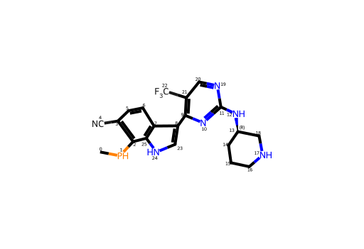 CPc1c(C#N)ccc2c(-c3nc(N[C@@H]4CCCNC4)ncc3C(F)(F)F)c[nH]c12